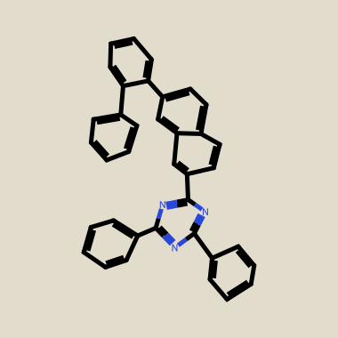 c1ccc(-c2nc(-c3ccccc3)nc(-c3ccc4ccc(-c5ccccc5-c5ccccc5)cc4c3)n2)cc1